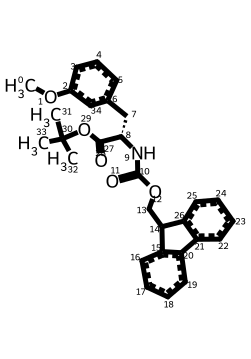 COc1cccc(C[C@H](NC(=O)OCC2c3ccccc3-c3ccccc32)C(=O)OC(C)(C)C)c1